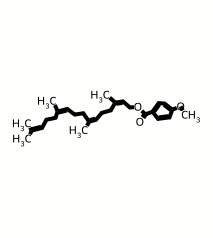 COc1ccc(C(=O)OCC=C(C)CCC=C(C)CCC=C(C)CCC=C(C)C)cc1